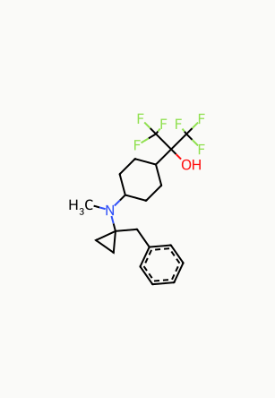 CN(C1CCC(C(O)(C(F)(F)F)C(F)(F)F)CC1)C1(Cc2ccccc2)CC1